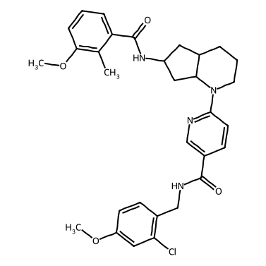 COc1ccc(CNC(=O)c2ccc(N3CCCC4CC(NC(=O)c5cccc(OC)c5C)CC43)nc2)c(Cl)c1